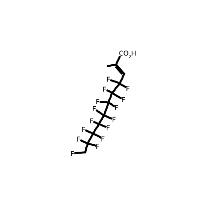 CC(=CC(F)(F)C(F)(F)C(F)(F)C(F)(F)C(F)(F)C(F)(F)C(F)(F)CF)C(=O)O